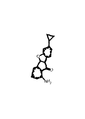 Nc1cccc2c1C(=O)C1c3ccc(C4CC4)cc3OC21